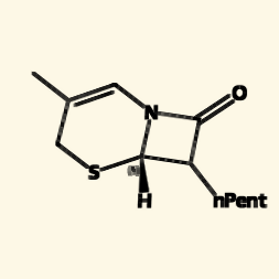 CCCCCC1C(=O)N2C=C(C)CS[C@@H]12